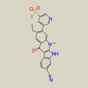 CCc1cc2c(=O)c3c4ccc(C#N)cc4[nH]c3n(C)c2cc1-c1cncc(S(=O)(=O)F)c1